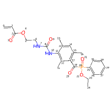 C=CC(=O)OCCNC(=O)Nc1c(C)cc(C)c(C(=O)P(=O)(OCC)c2ccccc2)c1C